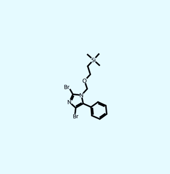 C[Si](C)(C)CCOCn1c(Br)nc(Br)c1-c1ccccc1